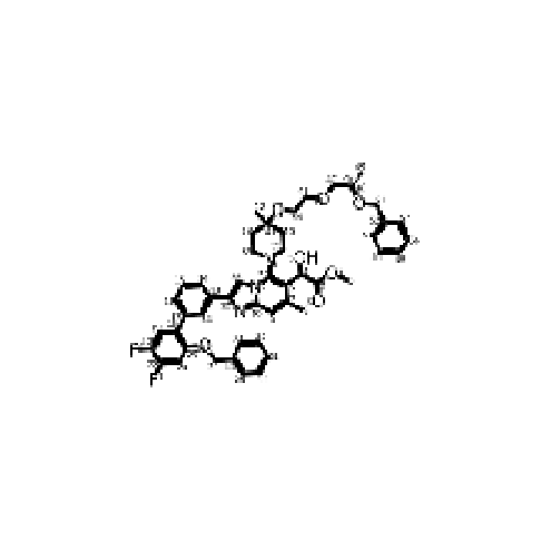 COC(=O)C(O)c1c(C)cc2nc(-c3cccc(-c4cc(F)c(F)cc4OCc4ccccc4)c3)cn2c1N1CCC(C)(OCCOC[C@@H](C)OCc2ccccc2)CC1